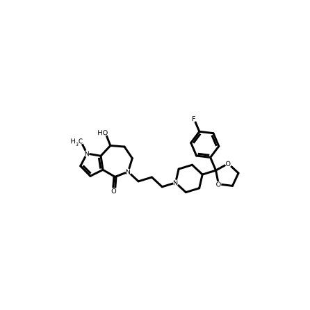 Cn1ccc2c1C(O)CCN(CCCN1CCC(C3(c4ccc(F)cc4)OCCO3)CC1)C2=O